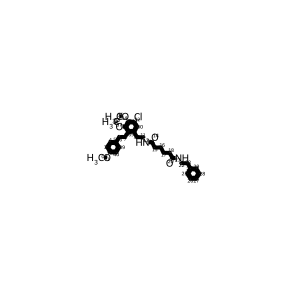 COc1ccc(CCc2c(CCNC(=O)CCCCC(=O)NCCc3ccccc3)cc(Cl)c(OC)c2OC)cc1